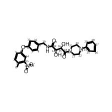 Cc1ccc(Oc2ccc(CNC(=O)[C@H](O)[C@@H](O)C(=O)N3CCN(c4ccccc4)CC3)cc2)cc1[N+](=O)[O-]